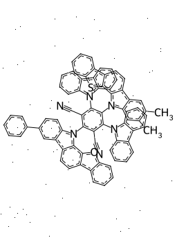 Cc1cc2c3ccc4c5ccccc5sc4c3n(-c3c(-n4c5ccccc5c5ccccc54)c(C#N)c(-n4c5ccc(-c6ccccc6)cc5c5ccc6c7ccccc7oc6c54)c(C#N)c3-n3c4ccccc4c4ccccc43)c2cc1C